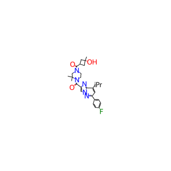 CC(C)c1cc(-c2ccc(F)cc2)nn2cc(C(=O)N3CCN(C(=O)C4CC(C)(O)C4)CC3(C)C)nc12